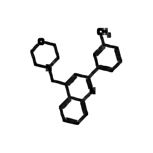 Cc1cccc(-c2cc(CN3CCOCC3)c3ccccc3n2)c1